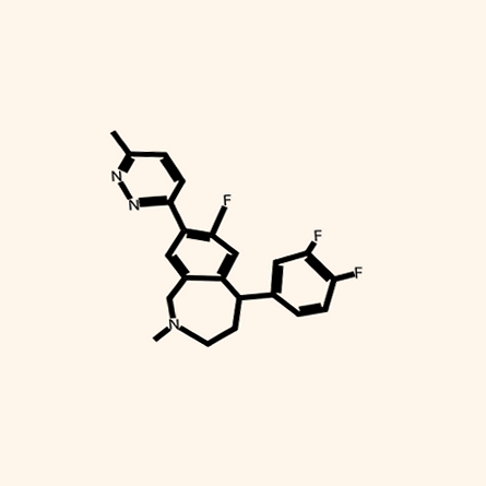 Cc1ccc(-c2cc3c(cc2F)C(c2ccc(F)c(F)c2)CCN(C)C3)nn1